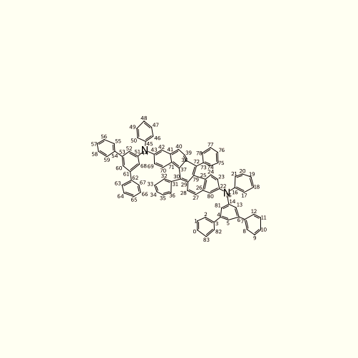 c1ccc(-c2cc(-c3ccccc3)cc(N(c3ccccc3)c3ccc4c(ccc5c(-c6ccccc6)c6c(ccc7cc(N(c8ccccc8)c8cc(-c9ccccc9)cc(-c9ccccc9)c8)ccc76)c(-c6ccccc6)c54)c3)c2)cc1